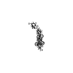 Cc1ccc(CCCN2CCN(C(=O)Oc3ccc(N4C(=O)CC(C)(C)CC4=O)cn3)CC2)nc1